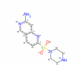 Nc1cc2nc(S(=O)(=O)N3CCNCC3)ccc2cn1